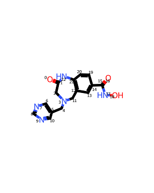 O=C1CN(Cc2cncnc2)Cc2cc(C(=O)NO)ccc2N1